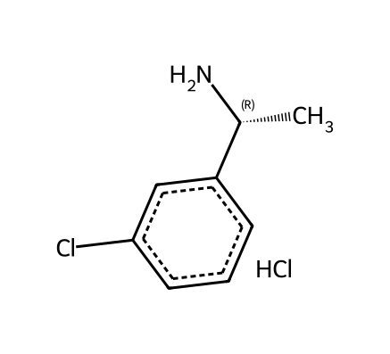 C[C@@H](N)c1cccc(Cl)c1.Cl